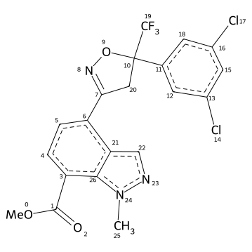 COC(=O)c1ccc(C2=NOC(c3cc(Cl)cc(Cl)c3)(C(F)(F)F)C2)c2cnn(C)c12